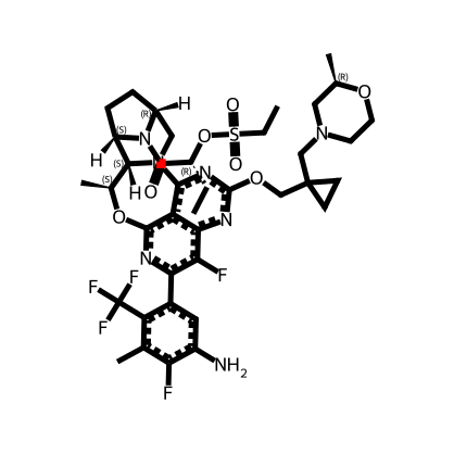 CC[C@@H](OS(=O)(=O)CC)C(=O)N1[C@@H]2CC[C@H]1[C@H]1[C@H](C)Oc3nc(-c4cc(N)c(F)c(C)c4C(F)(F)F)c(F)c4nc(OCC5(CN6CCO[C@H](C)C6)CC5)nc(c34)N1C2